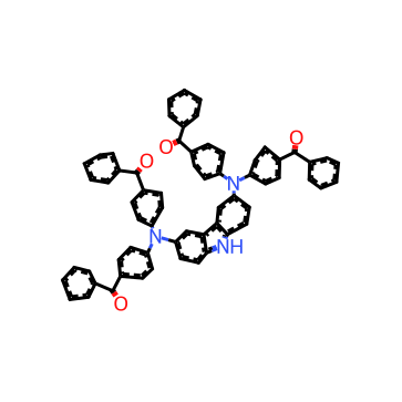 O=C(c1ccccc1)c1ccc(N(c2ccc(C(=O)c3ccccc3)cc2)c2ccc3[nH]c4ccc(N(c5ccc(C(=O)c6ccccc6)cc5)c5ccc(C(=O)c6ccccc6)cc5)cc4c3c2)cc1